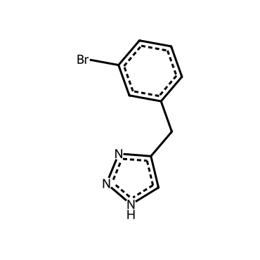 Brc1cccc(Cc2c[nH]nn2)c1